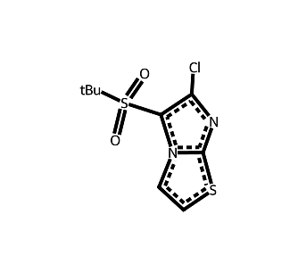 CC(C)(C)S(=O)(=O)c1c(Cl)nc2sccn12